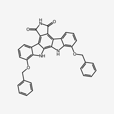 O=C1NC(=O)c2c1c1c3cccc(OCc4ccccc4)c3[nH]c1c1[nH]c3c(OCc4ccccc4)cccc3c21